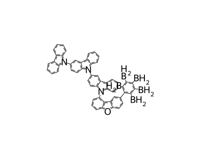 Bc1c(B)c(B)c(-c2ccc3oc4cccc(-n5c6ccccc6c6cc(-n7c8ccccc8c8cc(-n9c%10ccccc%10c%10ccccc%109)ccc87)ccc65)c4c3c2)c(B)c1B